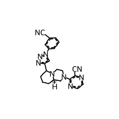 N#Cc1cccc(-n2cc(C3CCC[C@H]4CN(c5nccnc5C#N)CCN34)nn2)c1